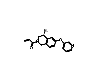 C=CC(=O)N1Cc2ccc(Oc3cccnc3)cc2[C@H](CC)C1